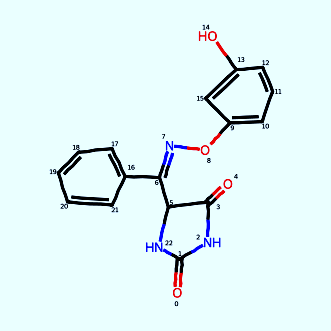 O=C1NC(=O)C(/C(=N\Oc2cccc(O)c2)c2ccccc2)N1